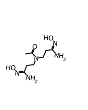 CC(=O)N(CC/C(N)=N\O)CC/C(N)=N\O